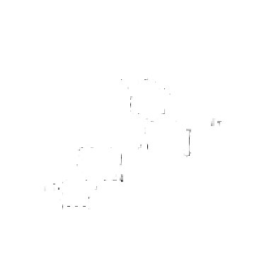 CCc1ccc(C(=O)C(C)C)c(Oc2ccc3[nH]ccc3n2)c1